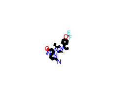 CCC(c1ccc(OC(F)F)cc1)N1C[C@H](CC)N(c2cc(=O)n(C)c3ccc(C#N)nc23)C[C@H]1C